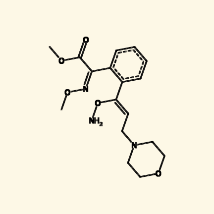 CON=C(C(=O)OC)c1ccccc1C(=CCN1CCOCC1)ON